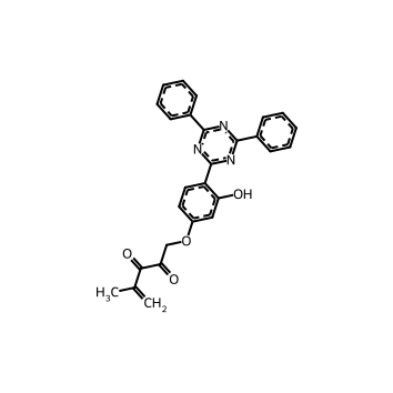 C=C(C)C(=O)C(=O)COc1ccc(-c2nc(-c3ccccc3)nc(-c3ccccc3)n2)c(O)c1